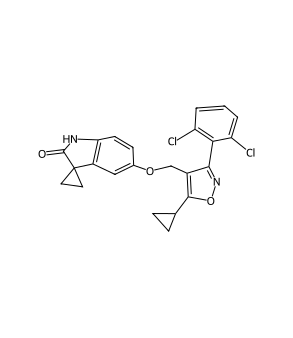 O=C1Nc2ccc(OCc3c(-c4c(Cl)cccc4Cl)noc3C3CC3)cc2C12CC2